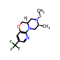 CSN1C[C@@H]2COc3cc(C(F)(F)F)cnc3N2C[C@@H]1C